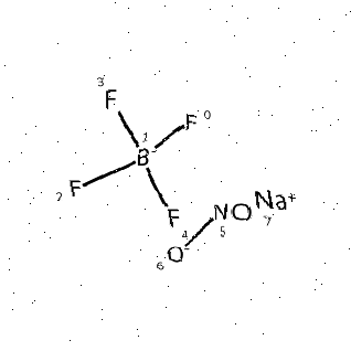 F[B-](F)(F)F.O=[NH+][O-].[Na+]